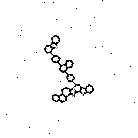 c1ccc2c(c1)ccc1c2ccc2c1nc1c3sc4ccccc4c3cc(-c3ccc(-c4ccc(-c5ccc(-c6cccc7c6sc6ccccc67)cc5)c5ccccc45)cc3)n21